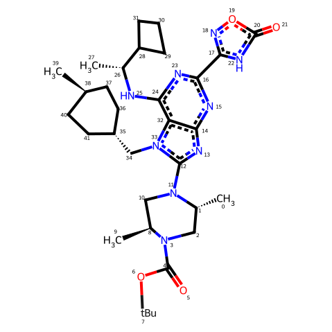 C[C@@H]1CN(C(=O)OC(C)(C)C)[C@@H](C)CN1c1nc2nc(-c3noc(=O)[nH]3)nc(N[C@H](C)C3CCC3)c2n1C[C@H]1CC[C@H](C)CC1